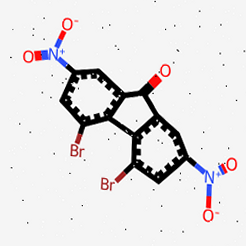 O=C1c2cc([N+](=O)[O-])cc(Br)c2-c2c(Br)cc([N+](=O)[O-])cc21